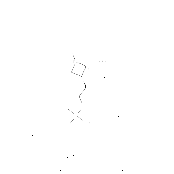 CS[C@@H]1[C@@H](CCO[Si](C)(C)C(C)(C)C)C[NH+]1[O-]